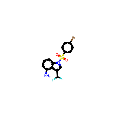 Nc1cccc2c1c(C(F)F)cn2S(=O)(=O)c1ccc(Br)cc1